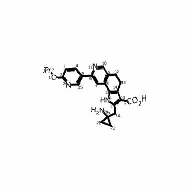 CC(C)Oc1ccc(-c2cc3c(cn2)CCc2c-3[nH]c(CC3(N)CC3)c2C(=O)O)cn1